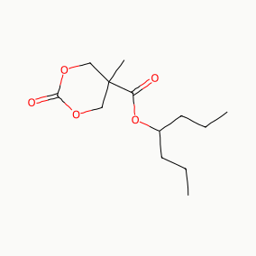 CCCC(CCC)OC(=O)C1(C)COC(=O)OC1